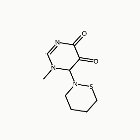 CN1[C]=NC(=O)C(=O)C1N1CCCCS1